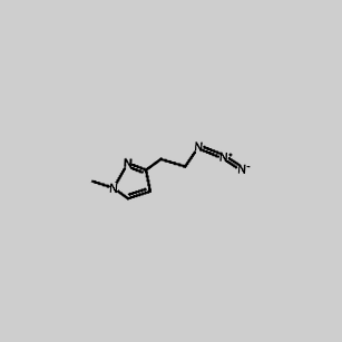 Cn1ccc(CCN=[N+]=[N-])n1